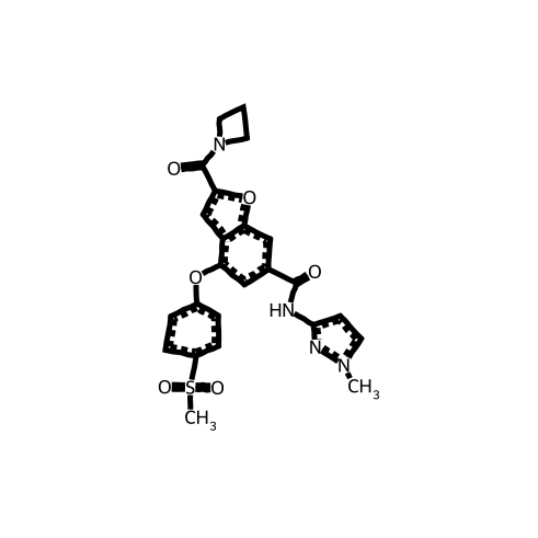 Cn1ccc(NC(=O)c2cc(Oc3ccc(S(C)(=O)=O)cc3)c3cc(C(=O)N4CCC4)oc3c2)n1